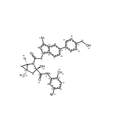 CC(=O)c1nn(CC(=O)N2[C@@H]3C[C@]3(C)C[C@@]2(O)C(=O)Nc2nc(Br)ccc2C)c2ccc(-c3cnc(CO)nc3)cc12